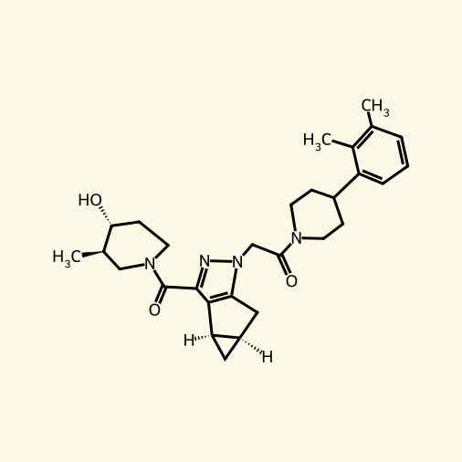 Cc1cccc(C2CCN(C(=O)Cn3nc(C(=O)N4CC[C@@H](O)[C@H](C)C4)c4c3C[C@H]3C[C@@H]43)CC2)c1C